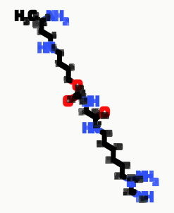 C[C@H](N)CCNCCCCOC(=O)NCC(=O)NCCCCCCN(N)C=N